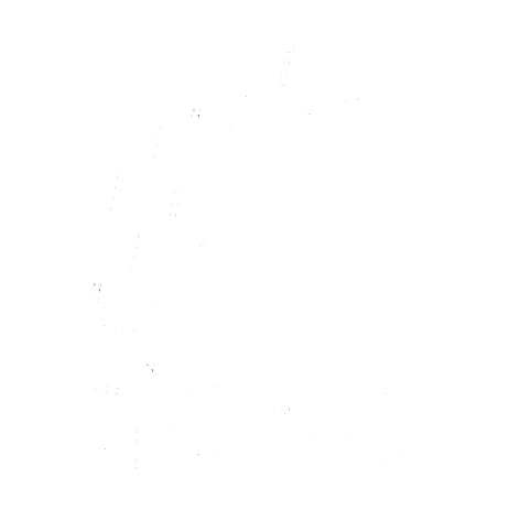 COC(=O)C1CN(Cc2ccc(-c3nc4ccc(C5(c6ccc(OCc7ccccc7)cc6)CC5)nc4s3)c(F)c2)C1